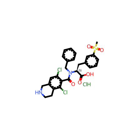 CS(=O)(=O)c1cccc(C[C@@H](C(=O)O)N(Cc2ccccc2)C(=O)c2c(Cl)cc3c(c2Cl)CCNC3)c1.Cl